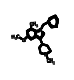 COc1cc(C)c2c(c1)c(C1CCN(C)CC1)cn2Cc1ccccc1